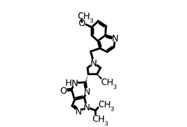 COc1ccc2nccc(CN3C[C@@H](C)[C@H](c4nc5c(cnn5C(C)C)c(=O)[nH]4)C3)c2c1